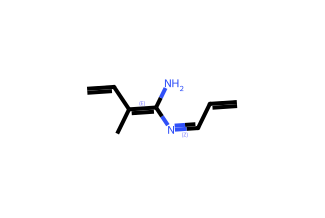 C=C/C=N\C(N)=C(/C)C=C